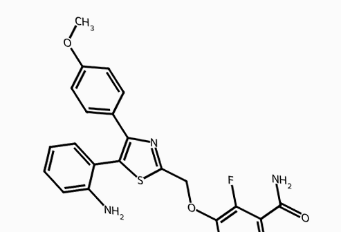 COc1ccc(-c2nc(COc3ccc(F)c(C(N)=O)c3F)sc2-c2ccccc2N)cc1